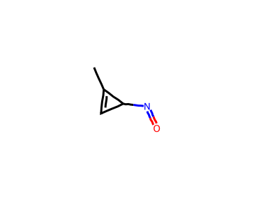 CC1=CC1N=O